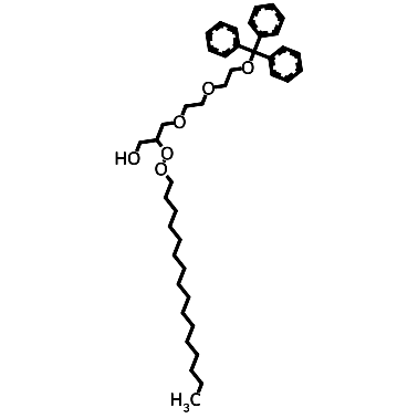 CCCCCCCCCCCCCCCCOOC(CO)COCCOCCOC(c1ccccc1)(c1ccccc1)c1ccccc1